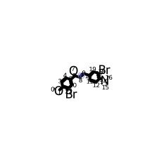 COc1ccc(C(=O)/C=C/c2ccc(N(C)C)c(Br)c2)cc1Br